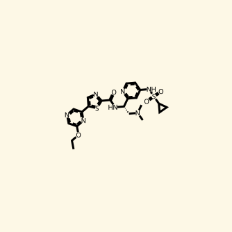 CCOc1cncc(-c2cnc(C(=O)N[C@@H](CN(C)C)c3cc(NS(=O)(=O)C4CC4)ccn3)s2)n1